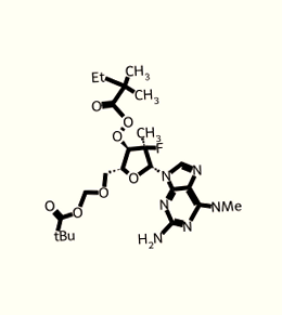 CCC(C)(C)C(=O)OO[C@@H]1[C@@H](COCOC(=O)C(C)(C)C)O[C@@H](n2cnc3c(NC)nc(N)nc32)[C@]1(C)F